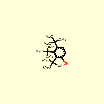 COC(OC)(OC)c1ccc(O)c(C(OC)(OC)OC)c1C(OC)(OC)OC